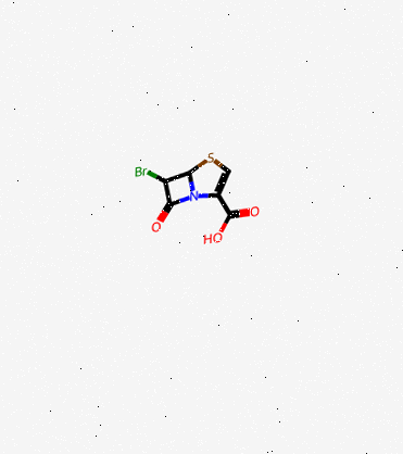 O=C(O)C1=CSC2C(Br)C(=O)N12